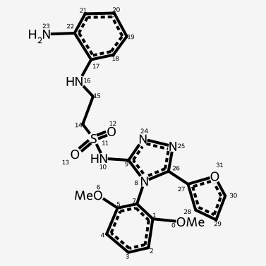 COc1cccc(OC)c1-n1c(NS(=O)(=O)CCNc2ccccc2N)nnc1-c1ccco1